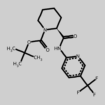 CC(C)(C)OC(=O)N1CCCC[C@H]1C(=O)Nc1ccc(C(F)(F)F)cn1